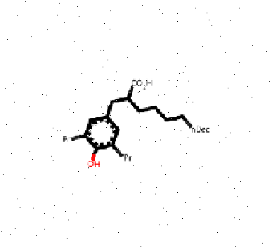 CCCCCCCCCCCCCCC(Cc1cc(C(C)C)c(O)c(C(C)C)c1)C(=O)O